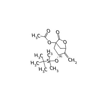 C=C1C2CC(OC(C)=O)(C[C@H]1O[Si](C)(C)C(C)(C)C)C(=O)O2